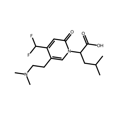 CC(C)CC(C(=O)O)n1cc(CCN(C)C)c(C(F)F)cc1=O